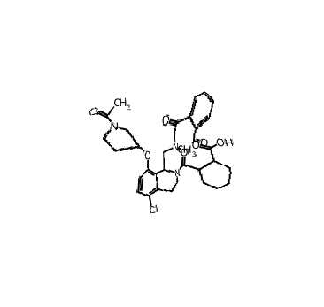 CC(=O)N1CCC(Oc2ccc(Cl)c3c2C(CN(C)C(=O)c2ccccc2C=O)N(C(=O)C2CCCCC2C(=O)O)CC3)C1